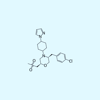 CS(=O)(=O)C[C@H]1CN(C2CCC(n3cccn3)CC2)[C@@H](Cc2ccc(Cl)cc2)CO1